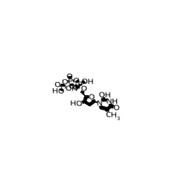 CC1=CN([C@H]2CC(O)[C@@H](COP(=O)(O)OP(=O)(O)OP(=O)(O)O)O2)C(O)NC1=O